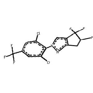 FC1Cc2nn(-c3c(Cl)cc(C(F)(F)F)cc3Cl)cc2C1(F)F